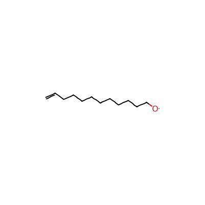 C=CCCCCCCCCCC[O]